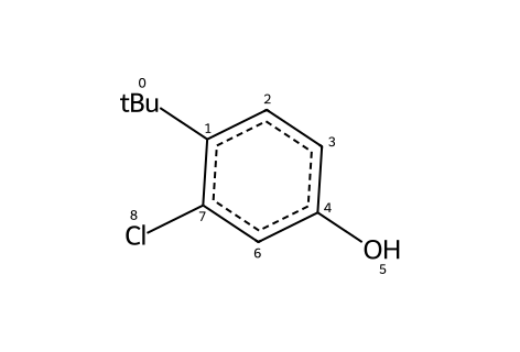 CC(C)(C)c1ccc(O)cc1Cl